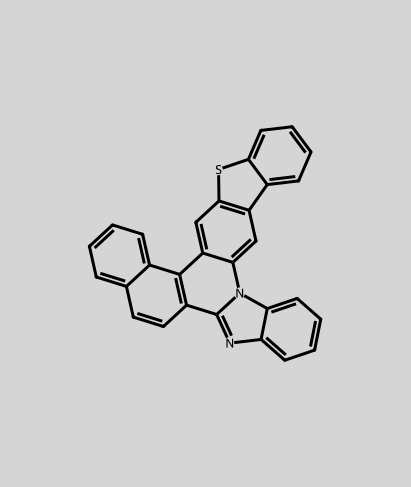 c1ccc2c(c1)ccc1c2c2cc3sc4ccccc4c3cc2n2c3ccccc3nc12